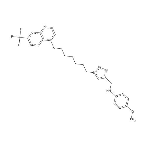 COc1ccc(NCc2cn(CCCCCCSc3ccnc4cc(C(F)(F)F)ccc34)nn2)cc1